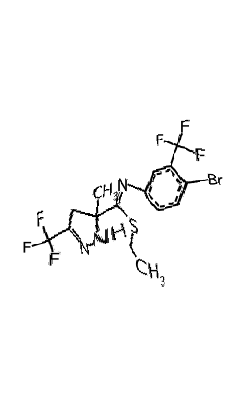 CCS/C(=N\c1ccc(Br)c(C(F)(F)F)c1)C1(C)CC(C(F)(F)F)=NN1